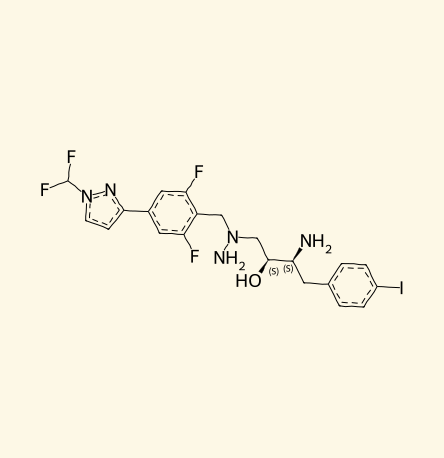 N[C@@H](Cc1ccc(I)cc1)[C@@H](O)CN(N)Cc1c(F)cc(-c2ccn(C(F)F)n2)cc1F